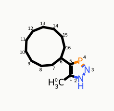 Cc1[nH]npc1C1CCCCCCCCCC1